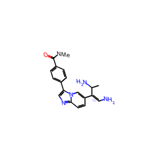 CNC(=O)c1ccc(-c2cnc3ccc(/C(=C/N)C(C)N)cn23)cc1